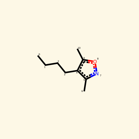 CCCCc1c(C)noc1C